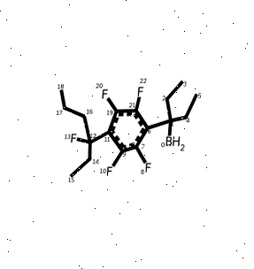 BC(CC)(CC)c1c(F)c(F)c(C(F)(CC)CCC)c(F)c1F